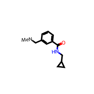 CNCc1cccc(C(=O)NCC2CC2)c1